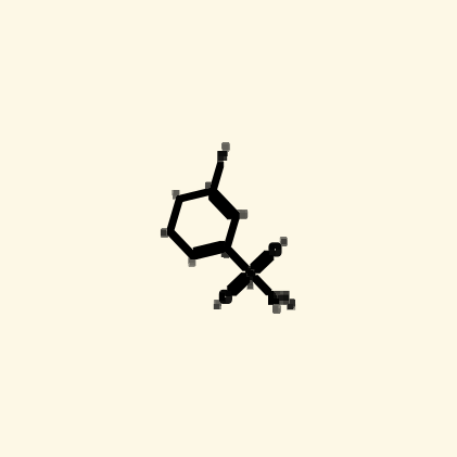 NS(=O)(=O)C1=CCCC(F)=C1